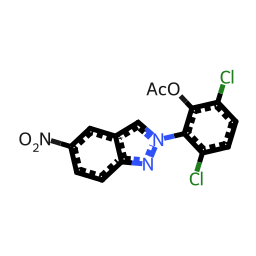 CC(=O)Oc1c(Cl)ccc(Cl)c1-n1cc2cc([N+](=O)[O-])ccc2n1